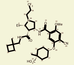 CC[C@H]1[C@@H](C(=O)NCC2(C)CCC2)[C@@H](NC(=O)c2cc(O[C@H]3CC[C@@](C)(C(=O)O)CC3)c(C#N)cc2OC)CN1CCC(F)(F)F